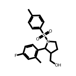 Cc1ccc(S(=O)(=O)N2CCC(CO)C2c2ccc(F)cc2C)cc1